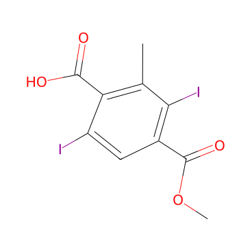 COC(=O)c1cc(I)c(C(=O)O)c(C)c1I